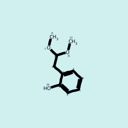 COC(Cc1ccccc1O)OC